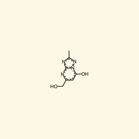 Cc1nc2nc(CO)cc(O)n2n1